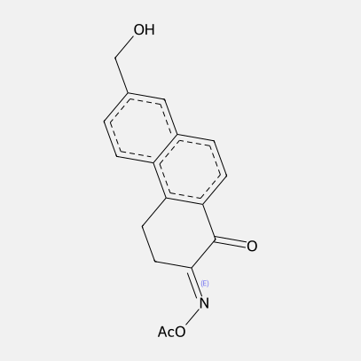 CC(=O)O/N=C1\CCc2c(ccc3cc(CO)ccc23)C1=O